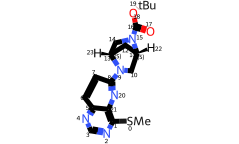 CSc1ncnc2ccc(N3C[C@@H]4C[C@H]3CN4C(=O)OC(C)(C)C)nc12